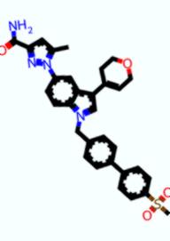 Cc1cc(C(N)=O)nn1-c1ccc2c(c1)c(C1=CCOCC1)cn2Cc1ccc(-c2ccc(S(C)(=O)=O)cc2)cc1